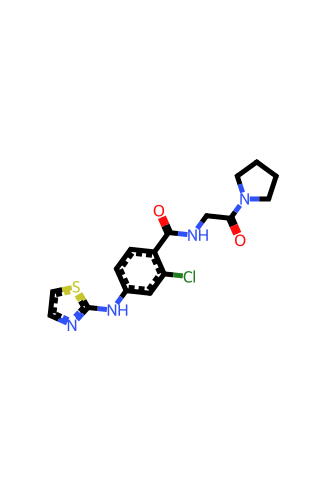 O=C(NCC(=O)N1CCCC1)c1ccc(Nc2nccs2)cc1Cl